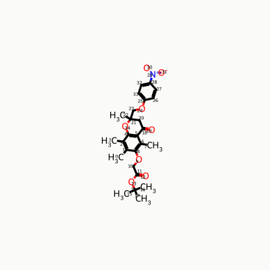 Cc1c(C)c2c(c(C)c1OCC(=O)OC(C)(C)C)C(=O)CC(C)(COc1ccc([N+](=O)[O-])cc1)O2